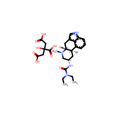 CCN(CC)C(=O)N[C@H]1C[C@@H]2c3cccc4[nH]cc(c34)C[C@H]2N(C)C1.O=C(O)CC(O)(CC(=O)O)C(=O)O